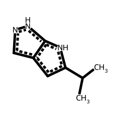 CC(C)c1cc2cn[nH]c2[nH]1